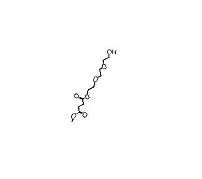 COC(=O)CCC(=O)OCCOCCOCCO